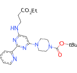 CCOC(=O)CCNc1cc(N2CCN(C(=O)OC(C)(C)C)CC2)nc(-c2ccccn2)n1